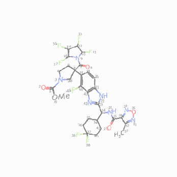 COC(=O)N1CC[C@](C(=O)N2C(F)C(F)C(F)C2F)(c2ccc3[nH]c([C@@H](NC(=O)c4nonc4C)C4CCC(F)(F)CC4)nc3c2F)C1